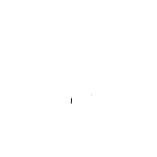 CCCCCCCCCCCCOC(=O)[C@H](CC(=O)O)N(CC)S(=O)(=O)OCCCCCCCCCCCC